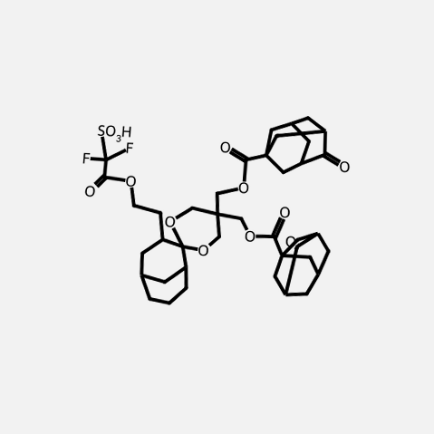 O=C1C2CC3CC1CC(C(=O)OCC1(COC(=O)C45CC6CC(C4)C(=O)C(C6)C5)COC4(OC1)C1CCCC(C1)CC4CCOC(=O)C(F)(F)S(=O)(=O)O)(C3)C2